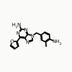 Cc1cc(Cn2cnc3c(-c4ccco4)nc(N)nc32)ccc1N